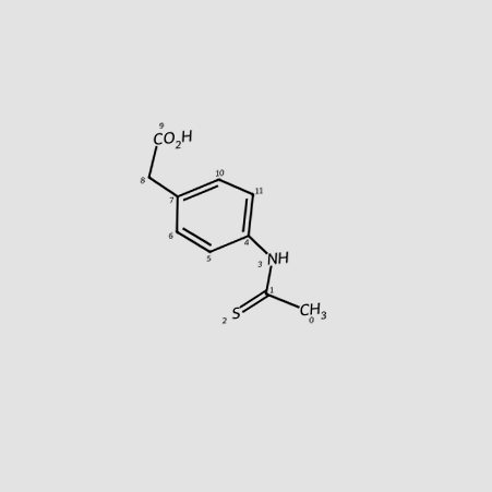 CC(=S)Nc1ccc(CC(=O)O)cc1